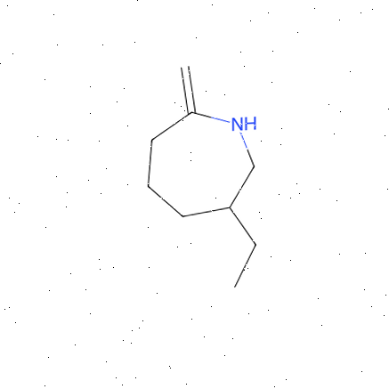 C=C1CCCC(CC)CN1